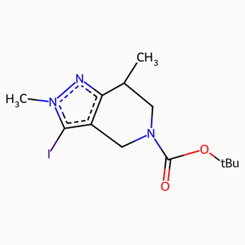 CC1CN(C(=O)OC(C)(C)C)Cc2c1nn(C)c2I